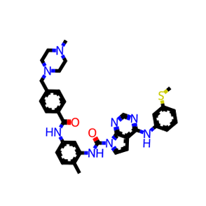 CSc1cccc(Nc2ncnc3c2ccn3C(=O)Nc2cc(NC(=O)c3ccc(CN4CCN(C)CC4)cc3)ccc2C)c1